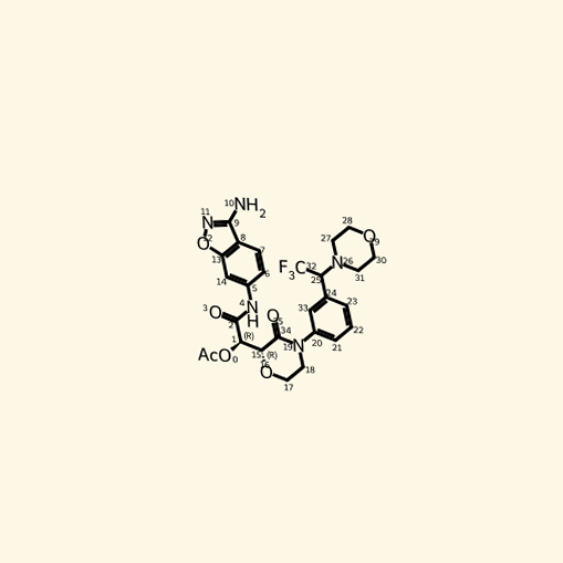 CC(=O)O[C@@H](C(=O)Nc1ccc2c(N)noc2c1)[C@H]1OCCN(c2cccc(C(N3CCOCC3)C(F)(F)F)c2)C1=O